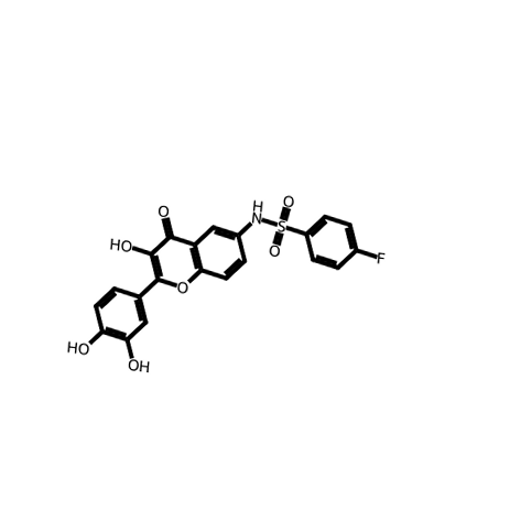 O=c1c(O)c(-c2ccc(O)c(O)c2)oc2ccc(NS(=O)(=O)c3ccc(F)cc3)cc12